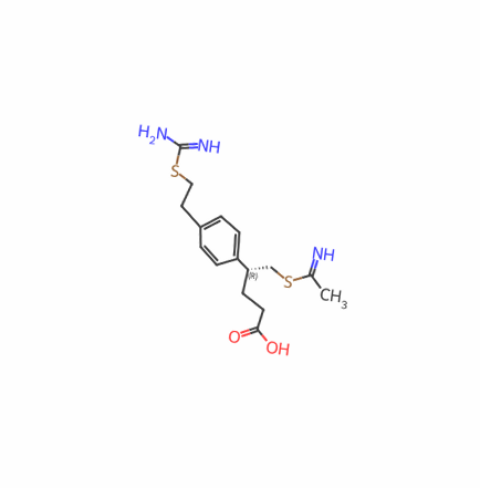 CC(=N)SC[C@H](CCC(=O)O)c1ccc(CCSC(=N)N)cc1